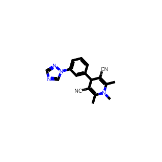 CC1=C(C#N)C(c2cccc(-n3cncn3)c2)C(C#N)=C(C)N1C